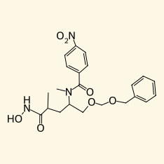 CC(CC(COCOCc1ccccc1)N(C)C(=O)c1ccc([N+](=O)[O-])cc1)C(=O)NO